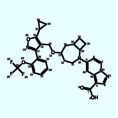 O=C(O)c1cnn2ccc(N3CCC(OCc4c(-c5ccccc5OC(F)(F)F)noc4C4CC4)CC4CCC43)cc12